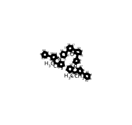 CC1(C)c2ccccc2N(C2=CC=C(c3cccc4c3oc3c(-c5ccc(N6c7ccccc7C(C)(C)c7cc(-c8ccccc8)ccc76)cc5)cccc34)CC2)c2ccc(-c3ccccc3)cc21